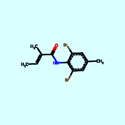 CC=C(C)C(=O)Nc1c(Br)cc(C)cc1Br